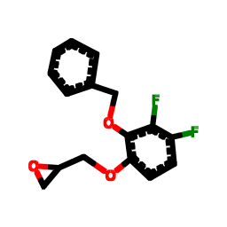 Fc1ccc(OCC2CO2)c(OCc2ccccc2)c1F